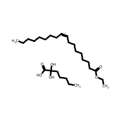 CCCCCC(O)(O)C(=O)O.CCCCCCCC/C=C\CCCCCCCC(=O)OCC